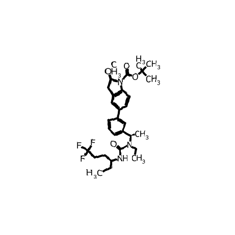 CCC(CCC(F)(F)F)NC(=O)N(CC)[C@H](C)c1cccc(-c2ccc3c(c2)CC(OC)N3C(=O)OC(C)(C)C)c1